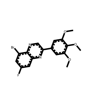 COc1cc(-c2cnc3c(Br)cc(F)cc3n2)cc(OC)c1OC